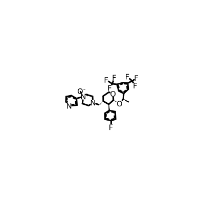 C[C@@H](O[C@H]1OCC[C@@H](CN2CC[N+]([O-])(c3cccnc3)CC2)[C@@H]1c1ccc(F)cc1)c1cc(C(F)(F)F)cc(C(F)(F)F)c1